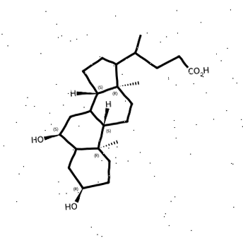 CC(CCC(=O)O)C1CC[C@H]2C3C[C@H](O)C4C[C@H](O)CC[C@]4(C)[C@H]3CC[C@]12C